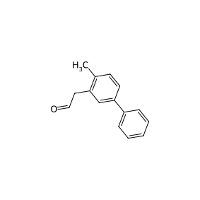 Cc1ccc(-c2ccccc2)cc1CC=O